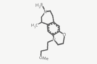 BN1CCc2cc3c(cc2C(C)C1)N(CCCOC)CCO3